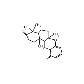 CC12CCC3C(C)(C)C(=O)CCC3(C)C1CC1C(=O)C=CC=C1O2